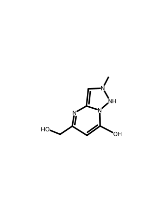 CN1C=C2N=C(CO)C=C(O)N2N1